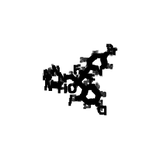 OC(Cn1cnnn1)(c1ccc(Cl)cc1F)C(F)(F)c1ccc(Br)cn1